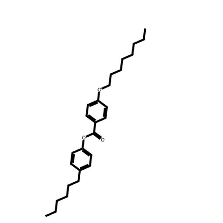 CCCCCCCCOc1ccc(C(=O)Oc2ccc(CCCCCC)cc2)cc1